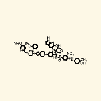 COc1ccc(CN2CCN(C3CC4(CCN(c5ccc(C(=O)NS(=O)(=O)c6ccc(NC[C@H]7CC[C@](C)(O)CC7)c([N+](=O)[O-])c6)c(N6c7cc8cc[nH]c8nc7O[C@H]7COCC[C@@H]76)c5)CC4)C3)[C@@H](c3ccccc3OC(C)C)C2)nc1